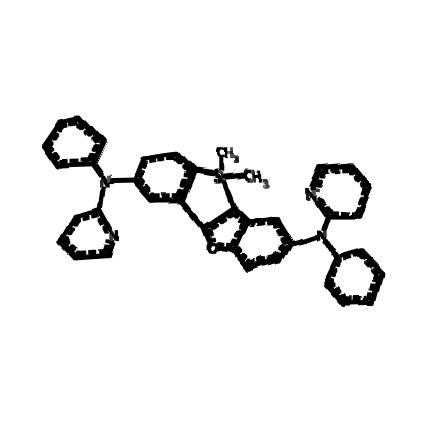 C[Si]1(C)c2ccc(N(c3ccccc3)c3ccccn3)cc2-c2oc3ccc(N(c4ccccc4)c4ccccn4)cc3c21